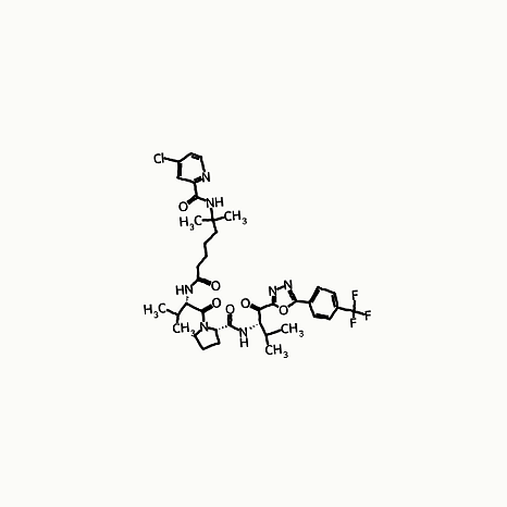 CC(C)[C@H](NC(=O)[C@@H]1CCCN1C(=O)[C@@H](NC(=O)CCCCC(C)(C)NC(=O)c1cc(Cl)ccn1)C(C)C)C(=O)c1nnc(-c2ccc(C(F)(F)F)cc2)o1